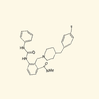 CNC(=O)c1cccc(NC(=O)Nc2ccccc2)c1CN1CCC(Cc2ccc(F)cc2)CC1